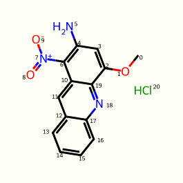 COc1cc(N)c([N+](=O)[O-])c2cc3ccccc3nc12.Cl